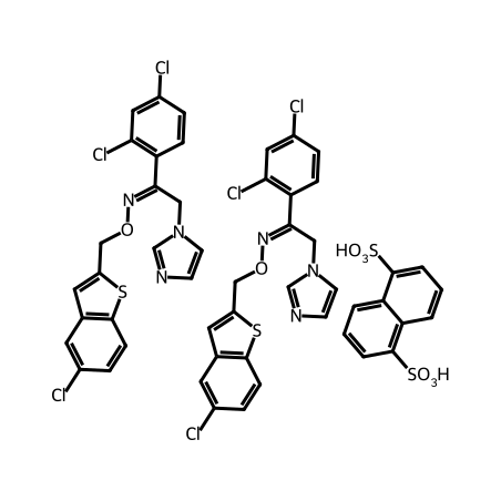 Clc1ccc(/C(Cn2ccnc2)=N/OCc2cc3cc(Cl)ccc3s2)c(Cl)c1.Clc1ccc(C(Cn2ccnc2)=NOCc2cc3cc(Cl)ccc3s2)c(Cl)c1.O=S(=O)(O)c1cccc2c(S(=O)(=O)O)cccc12